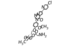 CCS(=O)(=O)C[C@H](COc1ccc(-n2cnn3cc(-c4ccc(Cl)cn4)cc3c2=O)cc1OC)OC(=O)CN